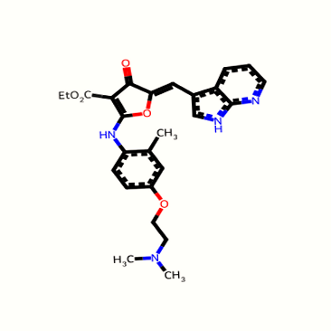 CCOC(=O)C1=C(Nc2ccc(OCCN(C)C)cc2C)OC(=Cc2c[nH]c3ncccc23)C1=O